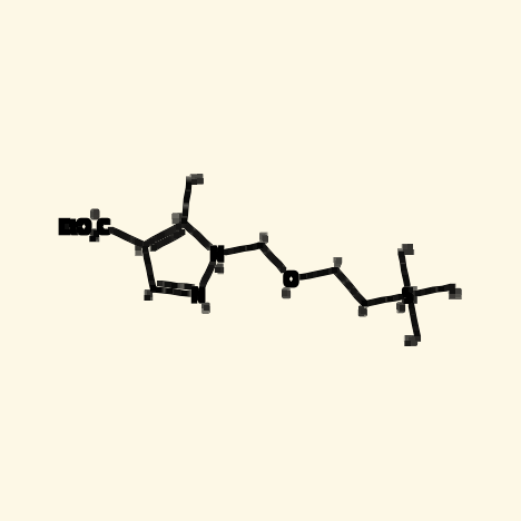 CCOC(=O)c1cnn(COCC[Si](C)(C)C)c1C